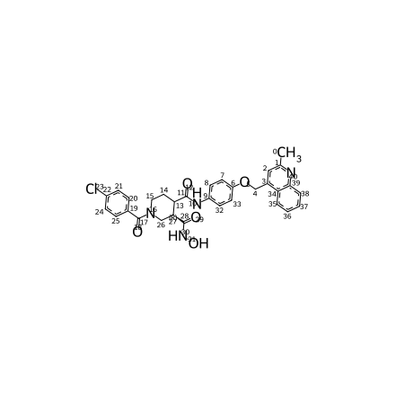 Cc1cc(COc2ccc(NC(=O)C3CCN(C(=O)c4ccc(Cl)cc4)C[C@@H]3C(=O)NO)cc2)c2ccccc2n1